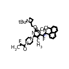 C=N/C(=C(/F)c1nc(OCC2CCN2C(C)(C)C)nc(N2CCN(C(=O)C(=C)F)CC2)c1C)c1cccc2cccc(Cl)c12